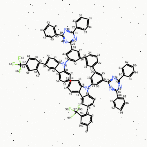 Cc1ccc(-c2ccc3c(c2)c2ccccc2n3-c2cc(-c3cccc(-c4cc(-c5nc(-c6ccccc6)nc(-c6ccccc6)n5)cc(-n5c6ccccc6c6cc(-c7ccc(C(F)(F)F)cc7C)ccc65)c4)c3)cc(-c3nc(-c4ccccc4)nc(-c4ccccc4)n3)c2)c(C(F)(F)F)c1